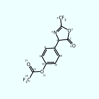 O=C1OC(C(F)(F)F)=NC1c1ccc(OC(=O)C(F)(F)F)cc1